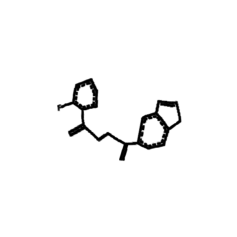 C=C(CCC(=C)c1ccccc1F)c1ccc2c(c1)C=CC2